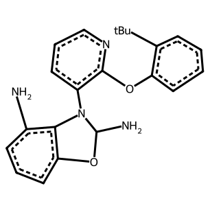 CC(C)(C)c1ccccc1Oc1ncccc1N1c2c(N)cccc2OC1N